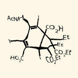 CCOC(=O)C(CC)C1(I)C(C(=O)O)=C(I)C(NC(C)=O)=C(I)C1(C(=O)O)C(CC)C(=O)OCC